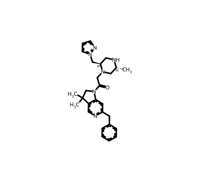 C[C@@H]1CN(CC(=O)N2CC(C)(C)c3cnc(Cc4ccccc4)cc32)[C@@H](Cn2cccn2)CN1